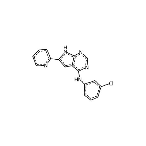 Clc1cccc(Nc2ncnc3[nH]c(-c4ccccn4)cc23)c1